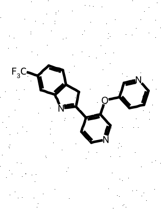 FC(F)(F)c1ccc2c(c1)N=C(c1ccncc1Oc1cccnc1)C2